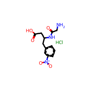 Cl.NCC(=O)NC(CC(=O)O)Cc1cccc([N+](=O)[O-])c1